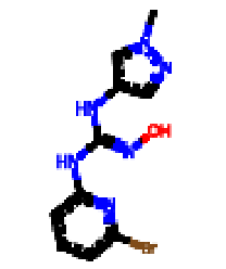 Cn1cc(NC(=NO)Nc2cccc(Br)n2)cn1